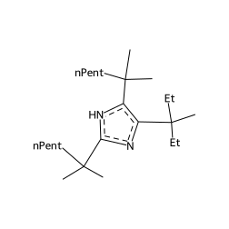 CCCCCC(C)(C)c1nc(C(C)(CC)CC)c(C(C)(C)CCCCC)[nH]1